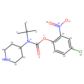 CC(C)(C)N(C(=O)Oc1ccc(Cl)cc1[N+](=O)[O-])C1CCNCC1